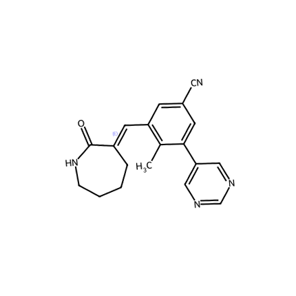 Cc1c(/C=C2\CCCCNC2=O)cc(C#N)cc1-c1cncnc1